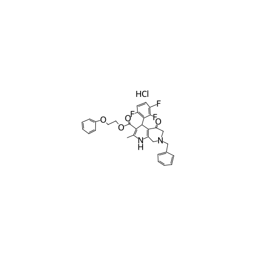 CC1=C(C(=O)OCCOc2ccccc2)C(c2c(F)ccc(F)c2F)C2=C(CN(Cc3ccccc3)CC2=O)N1.Cl